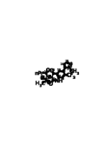 CCCC(=O)N(n1c(=O)[nH]c2cc(C(F)(F)F)c(-c3ccnn3C)cc2c1=O)S(C)(=O)=O